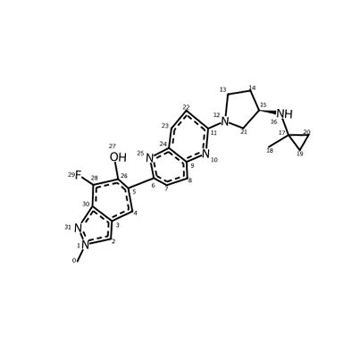 Cn1cc2cc(-c3ccc4nc(N5CC[C@@H](NC6(C)CC6)C5)ccc4n3)c(O)c(F)c2n1